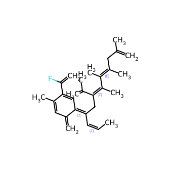 C=C(C)C/C(C)=C(C)/C(C)=C(/CC(/C=C\C)=c1\cc(C(=C)F)c(C)cc1=C)C(=C)C